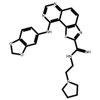 N=C(NCCN1CCCC1)c1nc2ccc3ncnc(Nc4ccc5c(c4)OCO5)c3c2s1